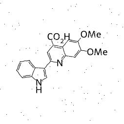 COc1cc2nc(-c3c[nH]c4ccccc34)cc(C(=O)O)c2cc1OC